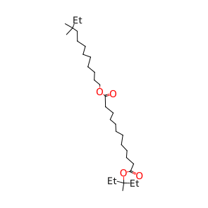 CCC(C)(C)CCCCCCCCCOC(=O)CCCCCCCCCCC(=O)OC(C)(CC)CC